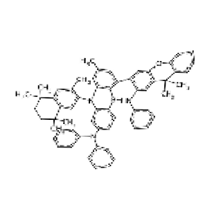 Cc1cc(-c2cc3c(cc2Nc2ccccc2)C(C)(C)c2ccccc2O3)c2c(c1)N(c1cc3c(cc1C)C(C)(C)CCC3(C)C)c1cc(N(c3ccccc3)c3ccccc3)ccc1B2